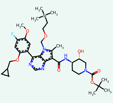 COc1cc(-c2ncnc3c(C(=O)N[C@@H]4CCN(C(=O)OC(C)(C)C)C[C@H]4O)c(C)n(COCC[Si](C)(C)C)c23)c(OCC2CC2)cc1F